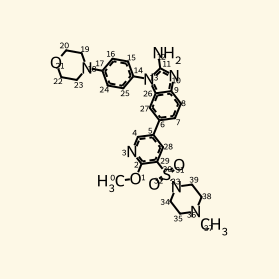 COc1ncc(-c2ccc3nc(N)n(-c4ccc(N5CCOCC5)cc4)c3c2)cc1S(=O)(=O)N1CCN(C)CC1